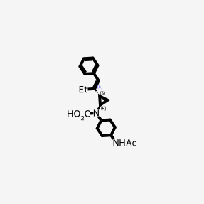 CC/C(=C\c1ccccc1)[C@@H]1C[C@H]1N(C(=O)O)C1CCC(NC(C)=O)CC1